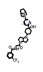 C=C(/C=C\C(=N/C)C1(O)CCC(N2CCC3C2CCN3C(=O)CNC(=O)c2cccc(C(F)(F)F)c2)CC1)N1CC2CCC(C1)N2C